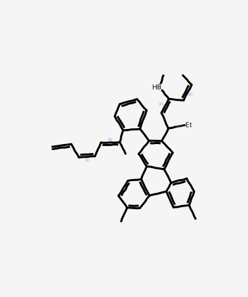 C=C/C=C\C=C(/C)c1ccccc1-c1cc2c3ccc(C)cc3c3cc(C)ccc3c2cc1C(/C=C(BC)\C=C/C)CC